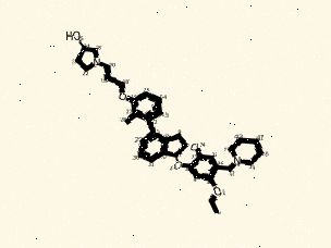 CCOc1cc(O[C@H]2CCc3c(-c4cccc(OCCCN5CC[C@@H](O)C5)c4C)cccc32)c(Cl)cc1CN1CCCCC1